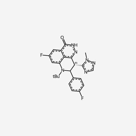 Cn1ncnc1[C@H]1c2n[nH]c(=O)c3cc(F)cc(c23)N(C(C)(C)C)C1c1ccc(F)cc1